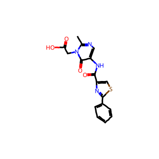 Cc1ncc(NC(=O)c2csc(-c3ccccc3)n2)c(=O)n1CC(=O)O